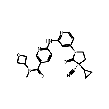 CN(C(=O)c1ccc(Nc2cc(N3CC[C@@](C#N)(C4CC4)C3=O)ccn2)nc1)C1COC1